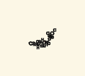 CC(C)(C)[C@H](NC(=O)c1cc2ccccc2[nH]1)C(=O)N1C[C@@H]2C[C@H]1CN2C(=O)C1CN(S(=O)(=O)c2ccc(Cl)cc2Cl)C1